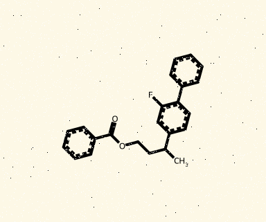 CC(CCOC(=O)c1ccccc1)c1ccc(-c2ccccc2)c(F)c1